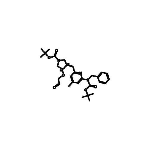 Cc1cc(C[C@@H]2CN(C(=O)OC(C)(C)C)C[C@H]2OCC=O)nc(N(Cc2ccccc2)C(=O)OC(C)(C)C)c1